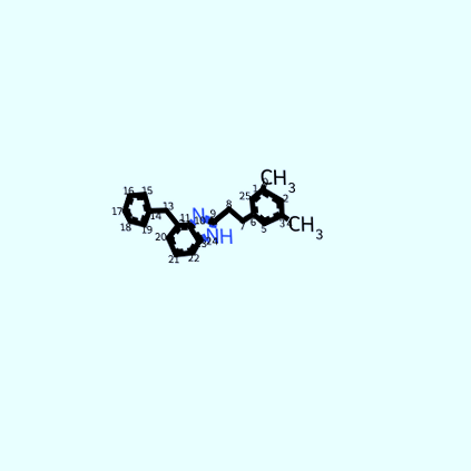 Cc1cc(C)cc(CCc2nc3c(Cc4ccccc4)cccc3[nH]2)c1